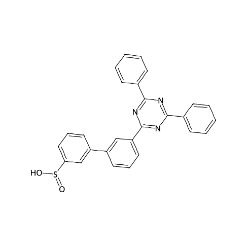 O=S(O)c1cccc(-c2cccc(-c3nc(-c4ccccc4)nc(-c4ccccc4)n3)c2)c1